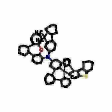 CC1(C)c2ccccc2-c2ccc(N(c3ccc4c(c3)-c3ccccc3-c3ccccc3C43c4ccccc4-c4c3ccc3sc5ccccc5c43)c3cccc4c3Oc3ccccc3-c3ccccc3-4)cc21